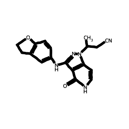 CC(CC#N)n1nc(Nc2ccc3c(c2)CCO3)c2c(=O)[nH]ccc21